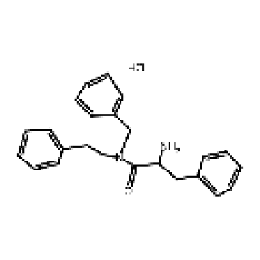 Cl.NC(Cc1ccccc1)C(=O)N(CCc1ccccc1)Cc1ccccc1